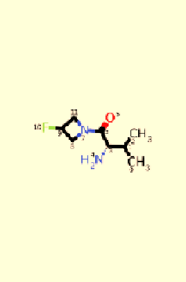 CC(C)[C@H](N)C(=O)N1CC(F)C1